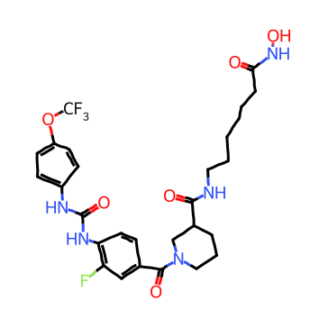 O=C(CCCCCCNC(=O)C1CCCN(C(=O)c2ccc(NC(=O)Nc3ccc(OC(F)(F)F)cc3)c(F)c2)C1)NO